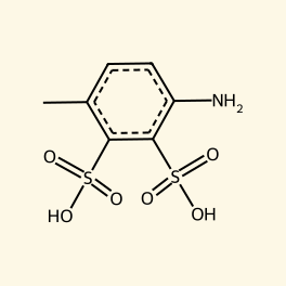 Cc1ccc(N)c(S(=O)(=O)O)c1S(=O)(=O)O